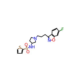 O=S(=O)(NC1CCN(CCCc2noc3cc(F)ccc23)C1)c1cccs1